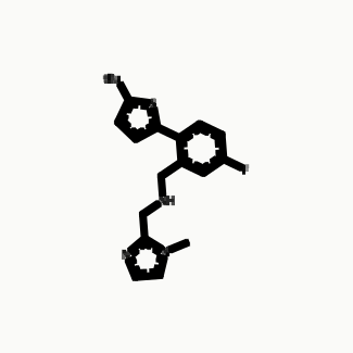 Cn1ccnc1CNCc1cc(F)ccc1-c1ccc(C(C)(C)C)s1